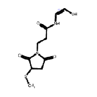 CSC1CC(=O)N(CCC(=O)N/C=C\O)C1=O